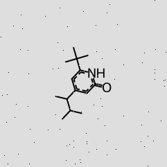 CC(C)C(C)c1cc(C(C)(C)C)[nH]c(=O)c1